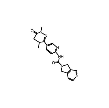 CC1CC(=O)N(C)N=C1c1ccc(NC(=O)N2Cc3ccncc3C2)nc1